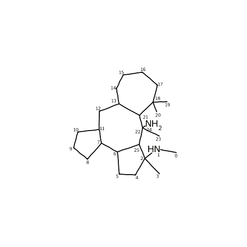 CNC1(C)CCC2C3CCCC3CC3CCCCC(C)(C)C3C(C)(N)C21